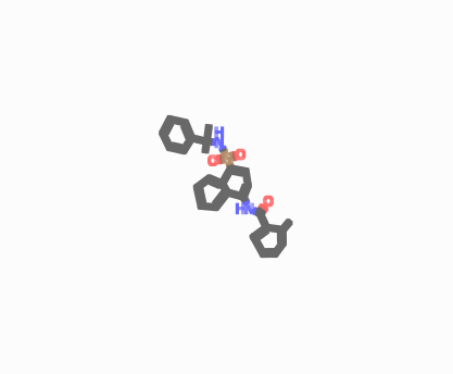 Cc1ccccc1C(=O)Nc1ccc(S(=O)(=O)NC(C)(C)c2ccccc2)c2ccccc12